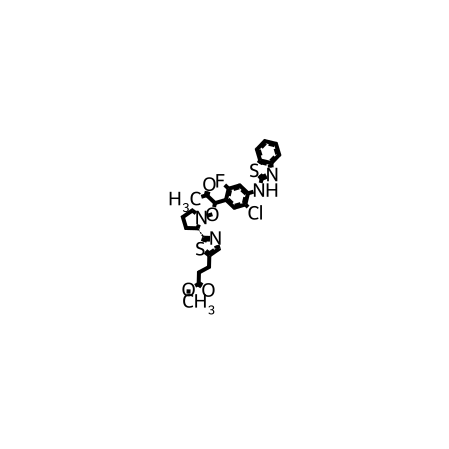 COC(=O)CCc1cnc([C@@H]2CCCN2OC(C(C)=O)c2cc(Cl)c(Nc3nc4ccccc4s3)cc2F)s1